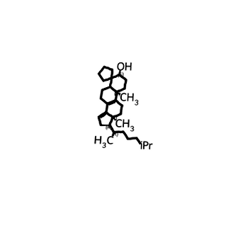 CC(C)CCC[C@@H](C)[C@H]1CC=C2C3=C(CC[C@@]21C)[C@@]1(C)CC[C@H](O)C2(CCCC2)C1CC3